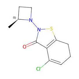 C[C@H]1CCN1n1sc2c(c1=O)C(Cl)=CCC2